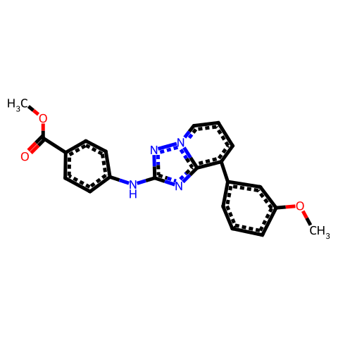 COC(=O)c1ccc(Nc2nc3c(-c4cccc(OC)c4)cccn3n2)cc1